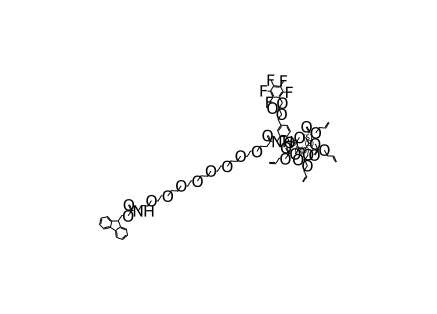 C=CCOC(=O)O[C@@H]1[C@@H](OC(=O)OCC=C)[C@H](Oc2ccc(COC(=O)Oc3c(F)c(F)c(F)c(F)c3F)cc2NC(=O)CCOCCOCCOCCOCCOCCOCCOCCOCCNC(=O)OCC2c3ccccc3-c3ccccc32)O[C@H](C(=O)OCC=C)[C@H]1OC(=O)OCC=C